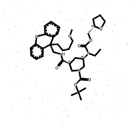 CCN(C(=O)OC[C@@H]1CCCO1)[C@@H]1C[C@H](C(=O)NCC2(CCCCOC)c3ccccc3Oc3ccccc32)CN(C(=O)OC(C)(C)C)C1